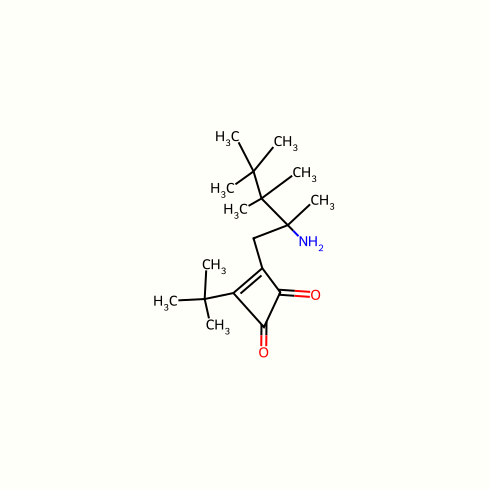 CC(C)(C)c1c(CC(C)(N)C(C)(C)C(C)(C)C)c(=O)c1=O